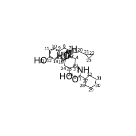 O=C(N[C@H]1C[C@@]2(O)[C@H]3Cc4ccc(O)cc4[C@@]2(CCN3CC2CC2)CC1O)C1CCCCC1